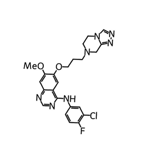 COc1cc2ncnc(Nc3ccc(F)c(Cl)c3)c2cc1OCCCN1CCn2cnnc2C1